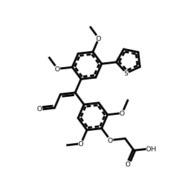 COc1cc(OC)c(-c2cccs2)cc1C(=CC=O)c1cc(OC)c(OCC(=O)O)c(OC)c1